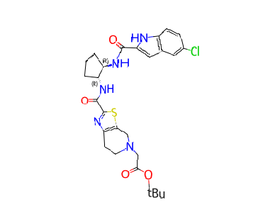 CC(C)(C)OC(=O)CN1CCc2nc(C(=O)N[C@@H]3CCC[C@H]3NC(=O)c3cc4cc(Cl)ccc4[nH]3)sc2C1